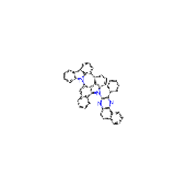 c1ccc(-c2nc3c(ccc4ccccc43)nc2-n2c3cccc4c5cccc6c7ccccc7n(c7cc8ccccc8c2c7c43)c56)cc1